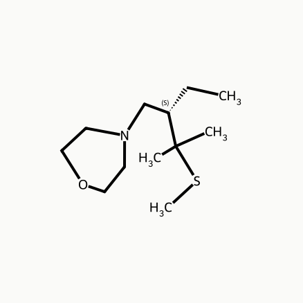 CC[C@@H](CN1CCOCC1)C(C)(C)SC